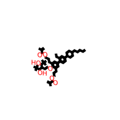 C=C(C)C(=O)OCCCc1cc(-c2ccc(C3CCC(CCCCC)CC3)cc2CC)cc(CCCOC(=O)C(=C)C)c1OCCC(C(O)C(C)(C)C)C(O)C(C)(C)C